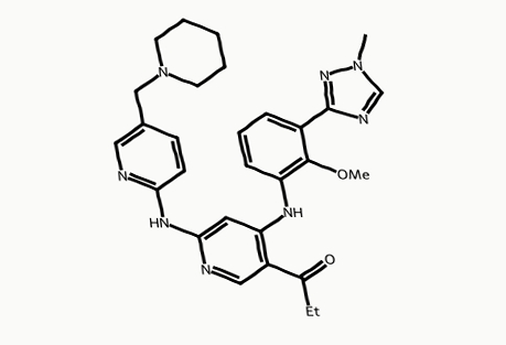 CCC(=O)c1cnc(Nc2ccc(CN3CCCCC3)cn2)cc1Nc1cccc(-c2ncn(C)n2)c1OC